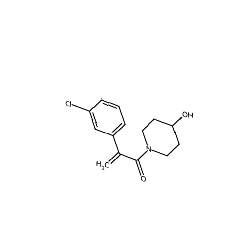 C=C(C(=O)N1CCC(O)CC1)c1cc[c]c(Cl)c1